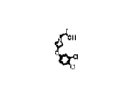 C[C@@H](O)CN1CC(Oc2ccc(Cl)c(Cl)c2)C1